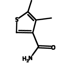 Cc1scc(C(N)=O)c1C